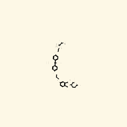 CNC(=O)c1noc(COc2ccc(C(C)(C)c3ccc(OCCCNc4ccc5c(c4)C(=O)N(C4CCC(=O)NC4=O)C5=O)cc3)cc2)n1